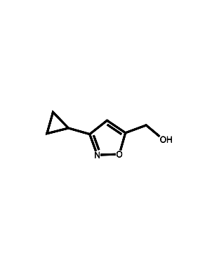 OCc1cc(C2CC2)no1